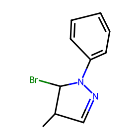 CC1C=NN(c2ccccc2)C1Br